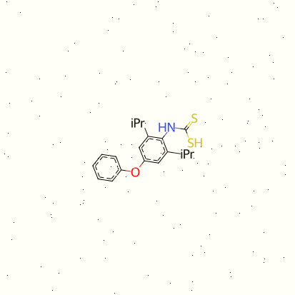 CC(C)c1cc(Oc2ccccc2)cc(C(C)C)c1NC(=S)S